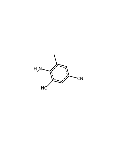 Cc1cc(C#N)cc(C#N)c1N